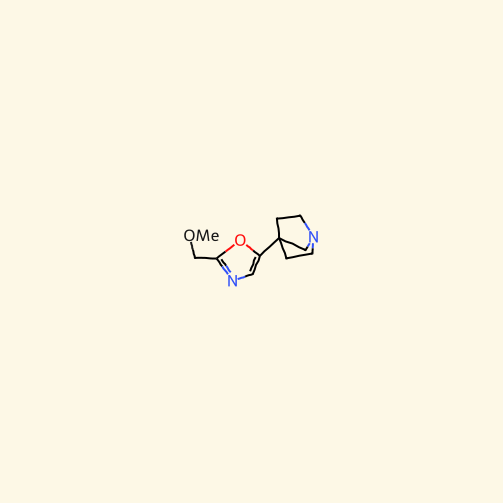 COCc1ncc(C23CCN(CC2)C3)o1